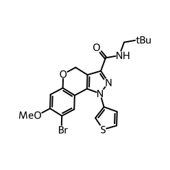 COc1cc2c(cc1Br)-c1c(c(C(=O)NCC(C)(C)C)nn1-c1ccsc1)CO2